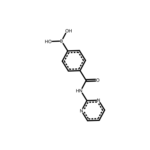 O=C(Nc1ncccn1)c1ccc(B(O)O)cc1